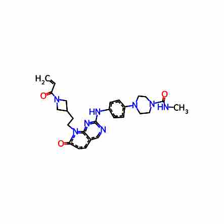 C=CC(=O)N1CC(CCn2c(=O)ccc3cnc(Nc4ccc(N5CCN(C(=O)NC)CC5)cc4)nc32)C1